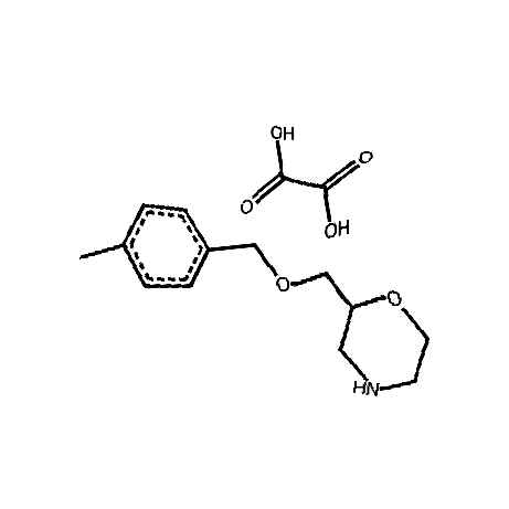 Cc1ccc(COCC2CNCCO2)cc1.O=C(O)C(=O)O